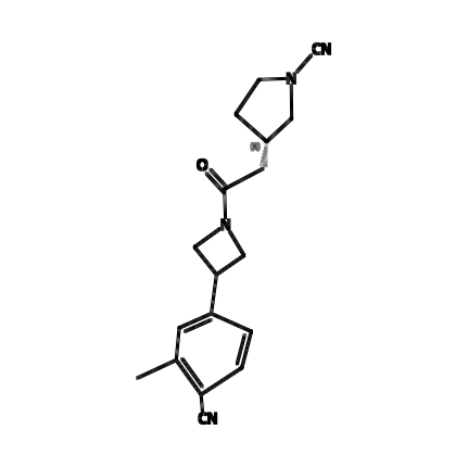 Cc1cc(C2CN(C(=O)C[C@@H]3CCN(C#N)C3)C2)ccc1C#N